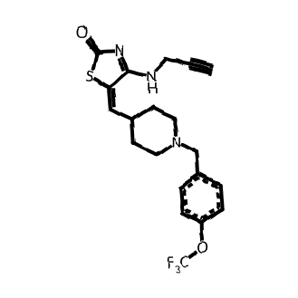 C#CCNC1=NC(=O)SC1=CC1CCN(Cc2ccc(OC(F)(F)F)cc2)CC1